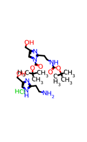 CC(C)(C)OC(=O)NCCc1nc(CO)cn1C(=O)OC(C)(C)C.Cl.NCCc1nc(CO)c[nH]1